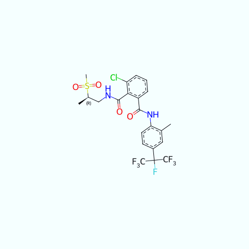 Cc1cc(C(F)(C(F)(F)F)C(F)(F)F)ccc1NC(=O)c1cccc(Cl)c1C(=O)NC[C@@H](C)S(C)(=O)=O